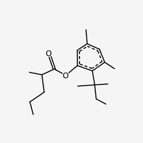 CCCC(C)C(=O)Oc1cc(C)cc(C)c1C(C)(C)CC